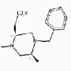 C[C@H]1CN(C)[C@@H](CC(=O)O)CN1Cc1ccccc1